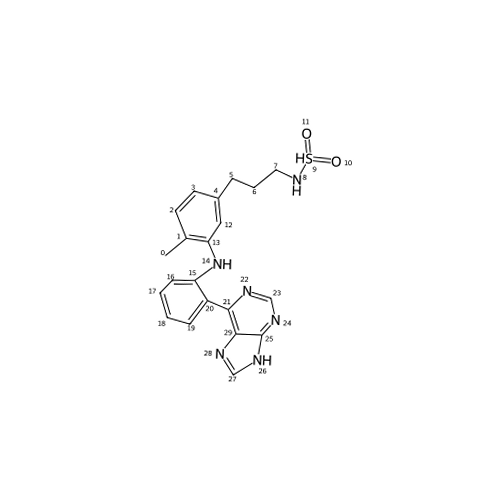 Cc1ccc(CCCN[SH](=O)=O)cc1Nc1ccccc1-c1ncnc2[nH]cnc12